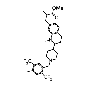 COC(=O)C(C)Cc1ccc2c(c1)N(C)C(C1CCN(Cc3cc(C(F)(F)F)c(C)cc3C(F)(F)F)CC1)CC2